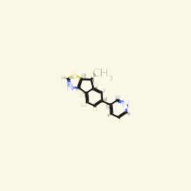 CC1c2cc(-c3cccnc3)ccc2-c2n[c]sc21